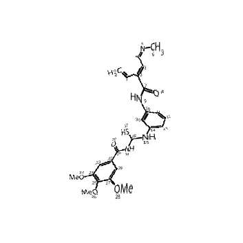 C=C/C(=C\C=N/C)C(=O)Nc1cccc(NC(S)NC(=O)c2cc(OC)c(OC)c(OC)c2)c1